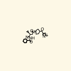 Cn1cc(C(=O)C2CCN(C(=O)CC(c3nc4ccccc4c(=O)[nH]3)C3CC3)CC2)cn1